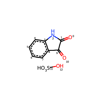 O=C1Nc2ccccc2C1=O.O=S(=O)(O)O